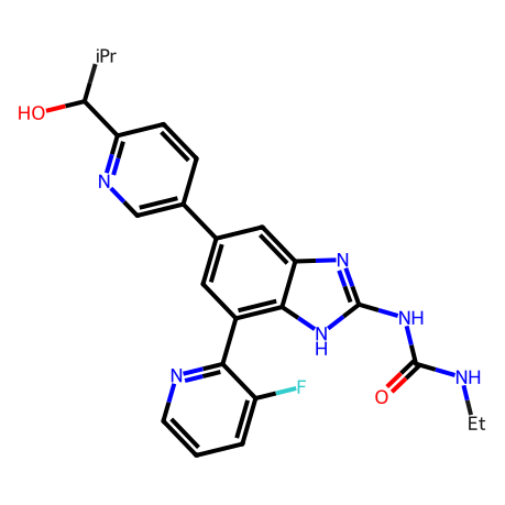 CCNC(=O)Nc1nc2cc(-c3ccc(C(O)C(C)C)nc3)cc(-c3ncccc3F)c2[nH]1